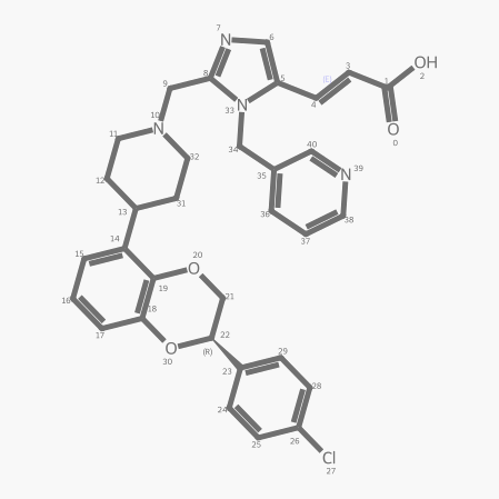 O=C(O)/C=C/c1cnc(CN2CCC(c3cccc4c3OC[C@@H](c3ccc(Cl)cc3)O4)CC2)n1Cc1cccnc1